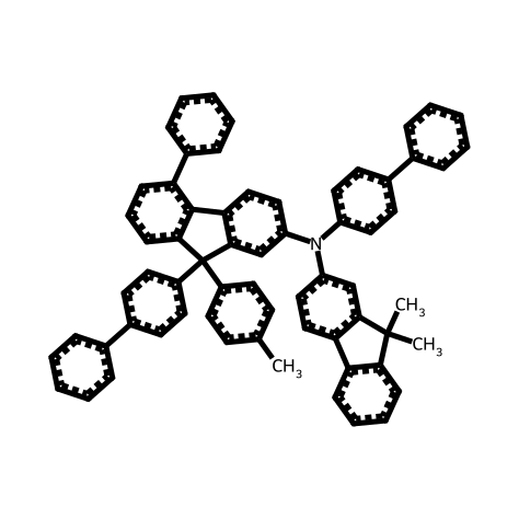 Cc1ccc(C2(c3ccc(-c4ccccc4)cc3)c3cc(N(c4ccc(-c5ccccc5)cc4)c4ccc5c(c4)C(C)(C)c4ccccc4-5)ccc3-c3c(-c4ccccc4)cccc32)cc1